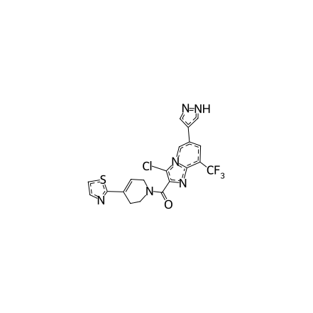 O=C(c1nc2c(C(F)(F)F)cc(-c3cn[nH]c3)cn2c1Cl)N1CC=C(c2nccs2)CC1